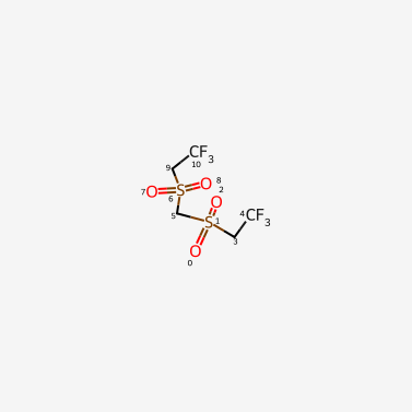 O=S(=O)(CC(F)(F)F)CS(=O)(=O)CC(F)(F)F